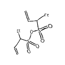 C=CC(CC)S(=O)(=O)OS(=O)(=O)C(C=C)CC